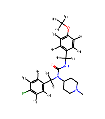 [2H]c1c([2H])c(C([2H])([2H])N(C(=O)NC([2H])([2H])c2c([2H])c([2H])c(OC([2H])([2H])C(C)C)c([2H])c2[2H])C2CCN(C)CC2)c([2H])c([2H])c1F